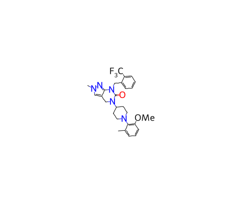 COc1cccc(C)c1N1CCC(N2Cc3cn(C)nc3N(Cc3ccccc3C(F)(F)F)C2=O)CC1